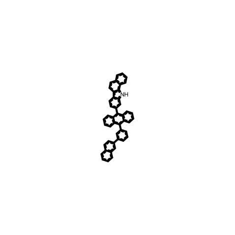 c1cc(-c2ccc3ccccc3c2)cc(-c2c3ccccc3c(-c3ccc4c(c3)[nH]c3c5ccccc5ccc43)c3ccccc23)c1